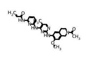 C=CC(=O)Nc1cccc(Nc2nc(Nc3cc4c(cc3OC)CN(C(C)=O)CC4)ncc2C)n1